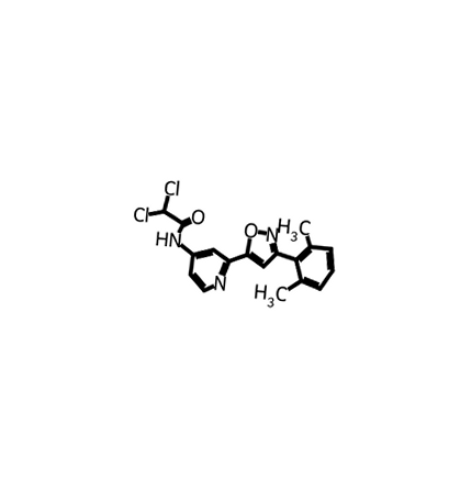 Cc1cccc(C)c1-c1cc(-c2cc(NC(=O)C(Cl)Cl)ccn2)on1